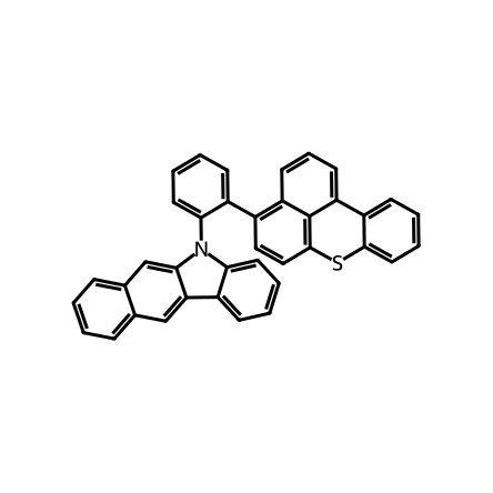 c1ccc2c(c1)Sc1ccc(-c3ccccc3-n3c4ccccc4c4cc5ccccc5cc43)c3cccc-2c13